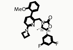 COc1ccccc1-c1ccc(N2CCC2)nc1CN1C(=O)O[C@H](c2cc(F)cc(F)c2)[C@@H]1C